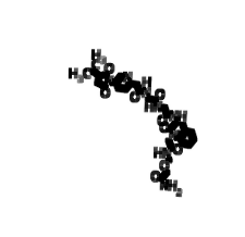 CC(C)C1CC(=O)N(c2ccc(CC(=O)NCC(=O)NCC(=O)N[C@@H](Cc3ccccc3)C(=O)NCC(=O)NCOCC(N)=O)nc2)C1=O